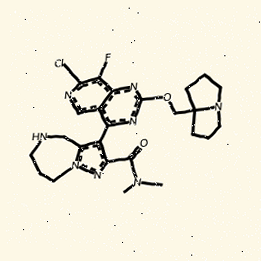 CN(C)C(=O)c1nn2c(c1-c1nc(OCC34CCCN3CCC4)nc3c(F)c(Cl)ncc13)CNCCC2